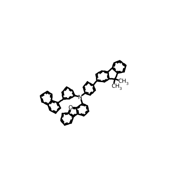 CC1(C)c2ccccc2-c2ccc(-c3ccc(N(c4cccc(-c5cccc6ccccc56)c4)c4cccc5c4oc4ccccc45)cc3)cc21